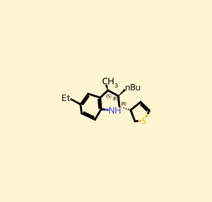 CCCC[C@@H]1[C@H](C)c2cc(CC)ccc2N[C@H]1C1C=CSC1